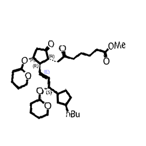 CCCCC1CCC([C@@H](/C=C/[C@H]2[C@H](OC3CCCCO3)CC(=O)[C@@H]2CC(=O)CCCCC(=O)OC)OC2CCCCO2)C1